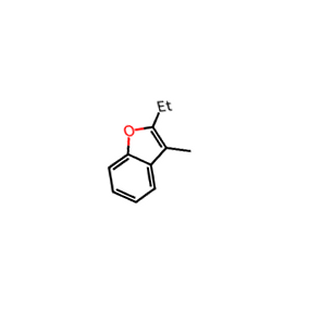 CCc1oc2ccccc2c1C